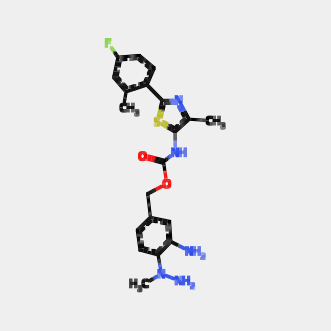 Cc1cc(F)ccc1-c1nc(C)c(NC(=O)OCc2ccc(N(C)N)c(N)c2)s1